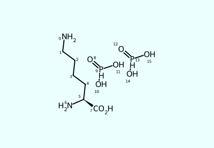 NCCCC[C@H](N)C(=O)O.O=[PH](O)O.O=[PH](O)O